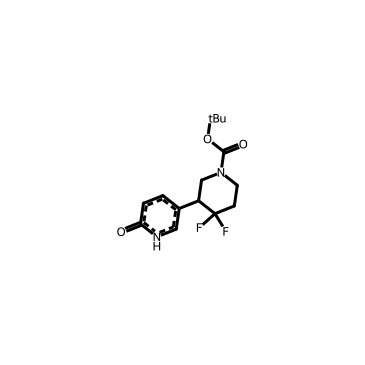 CC(C)(C)OC(=O)N1CCC(F)(F)C(c2ccc(=O)[nH]c2)C1